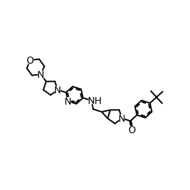 CC(C)(C)c1ccc(C(=O)N2CC3C(CNc4ccc(N5CCC(N6CCOCC6)C5)nc4)C3C2)cc1